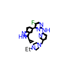 CCN1CCN(Cc2ccc(Nc3ncc(F)c(-c4ccc5n[nH]c(C6CC6)c5c4)n3)nc2)CC1